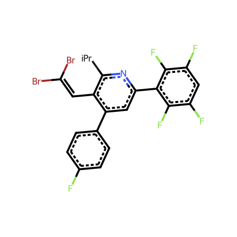 CC(C)c1nc(-c2c(F)c(F)cc(F)c2F)cc(-c2ccc(F)cc2)c1C=C(Br)Br